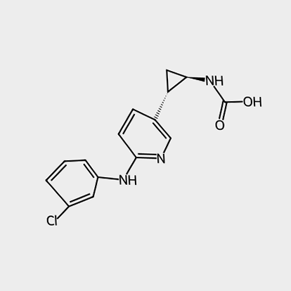 O=C(O)N[C@@H]1C[C@H]1c1ccc(Nc2cccc(Cl)c2)nc1